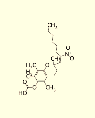 CCCCCC/C(=C\C1(C)CCc2c(C)c(OC(=O)O)c(C)c(C)c2O1)[N+](=O)[O-]